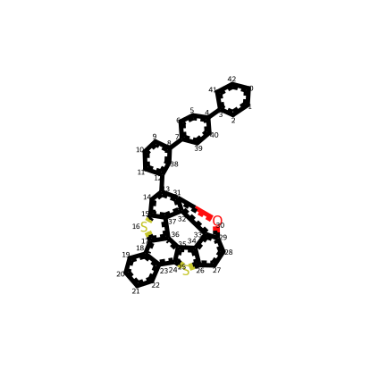 c1ccc(-c2ccc(-c3cccc(-c4cc5sc6c7ccccc7c7sc8ccc9oc4c4c9c8c7c6c54)c3)cc2)cc1